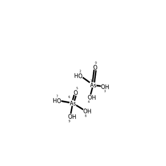 O=[As](O)(O)O.O=[As](O)(O)O